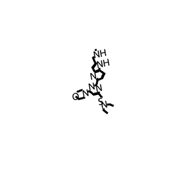 CCN(CC)SCc1cc(N2CCOCC2)nc(-c2ccc3[nH]c(CNC)cc3n2)n1